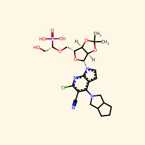 CC1(C)O[C@@H]2[C@H](O1)[C@@H](CO[C@H](CO)P(=O)(O)O)O[C@H]2n1ccc2c(N3CC4CCCC4C3)c(C#N)c(Cl)nc21